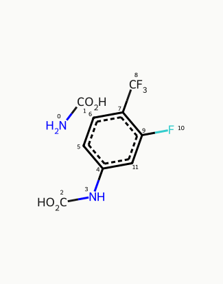 NC(=O)O.O=C(O)Nc1ccc(C(F)(F)F)c(F)c1